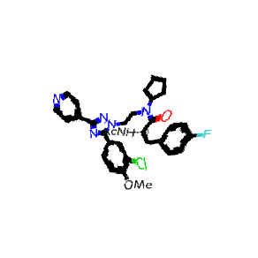 COc1ccc(-c2nc(-c3ccncc3)nn2CCN(C(=O)[C@H](Cc2ccc(F)cc2)NC(C)=O)C2CCCC2)cc1Cl